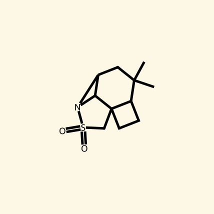 CC1(C)CC2C3N2S(=O)(=O)CC32CCC12